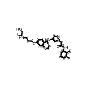 C[C@@H](CO)NCCCOc1ccc2c(Nc3cnn(CC(=O)Nc4cccc(F)c4F)c3)ncnc2c1